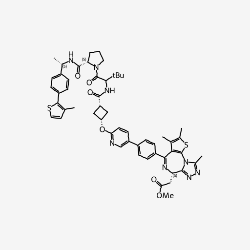 COC(=O)C[C@@H]1N=C(c2ccc(-c3ccc(O[C@H]4C[C@@H](C(=O)NC(C(=O)N5CCC[C@H]5C(=O)N[C@@H](C)c5ccc(-c6sccc6C)cc5)C(C)(C)C)C4)nc3)cc2)c2c(sc(C)c2C)-n2c(C)nnc21